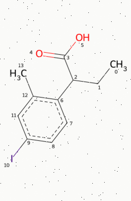 CCC(C(=O)O)c1ccc(I)cc1C